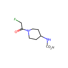 O=C(O)NC1CCN(C(=O)CF)CC1